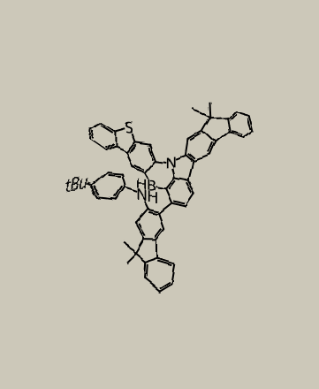 CC(C)(C)c1ccc(Nc2cc3c(cc2-c2ccc4c5cc6c(cc5n5c4c2Bc2cc4c(cc2-5)sc2ccccc24)C(C)(C)c2ccccc2-6)-c2ccccc2C3(C)C)cc1